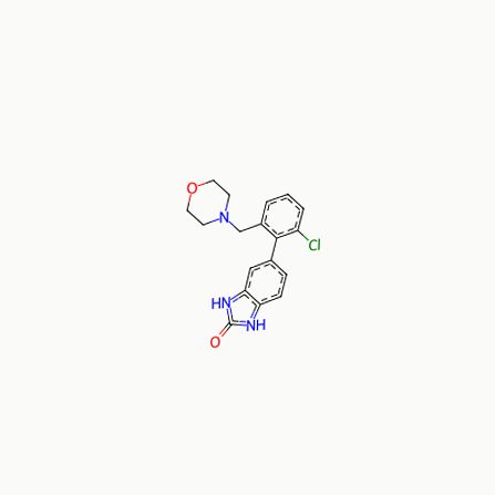 O=c1[nH]c2ccc(-c3c(Cl)cccc3CN3CCOCC3)cc2[nH]1